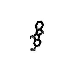 CC(C)(C)c1ccc2c(c1)[nH]c1c2nc2ccccn21